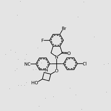 N#Cc1ccc(C(OC2CC(O)C2)(c2ccc(Cl)cc2)N2Cc3c(F)cc(Br)cc3C2=O)nc1